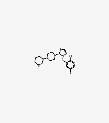 C[C@@H]1CCCN(C2CCN(C3SC=CN3Cc3cc(F)ccc3Cl)CC2)C1